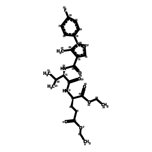 CCOC(=O)CC[C@@H](NC(=O)[C@@H](NC(=O)c1cnn(-c2ccc(F)cc2)c1C)C(C)C)C(=O)OCC